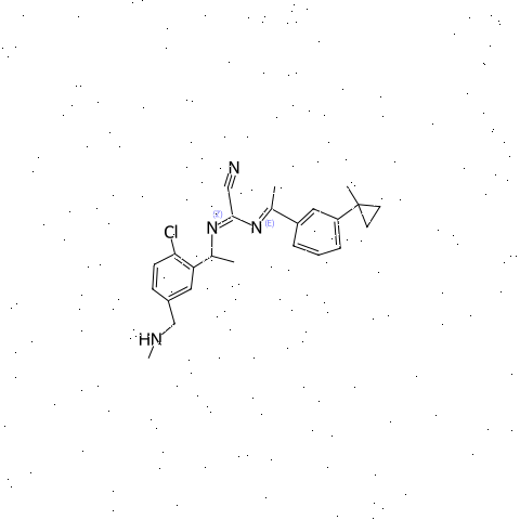 CNCc1ccc(Cl)c(C(C)/N=C(C#N)\N=C(/C)c2cccc(C3(C)CC3)c2)c1